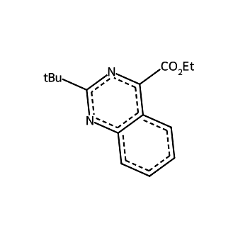 CCOC(=O)c1nc(C(C)(C)C)nc2ccccc12